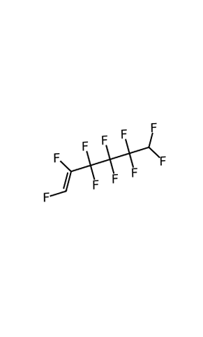 FC=C(F)C(F)(F)C(F)(F)C(F)(F)C(F)F